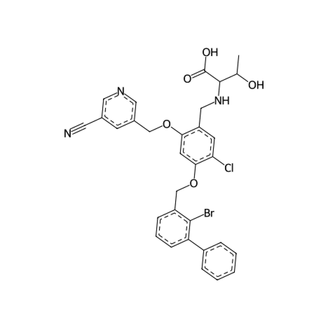 CC(O)C(NCc1cc(Cl)c(OCc2cccc(-c3ccccc3)c2Br)cc1OCc1cncc(C#N)c1)C(=O)O